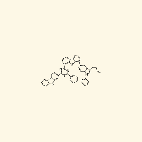 C=C/C=C\c1cn(-c2ccccc2)c2ccc(-c3cccc4c3sc3c(-c5nc(-c6ccccc6)nc(-c6ccc7c(c6)sc6ccccc67)n5)cccc34)cc12